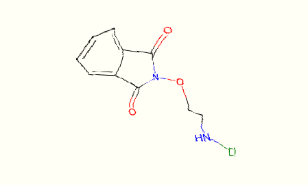 O=C1c2ccccc2C(=O)N1OCCNCl